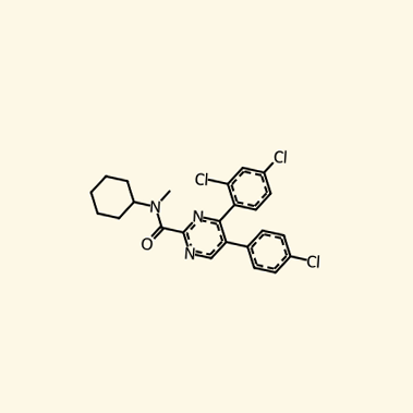 CN(C(=O)c1ncc(-c2ccc(Cl)cc2)c(-c2ccc(Cl)cc2Cl)n1)C1CCCCC1